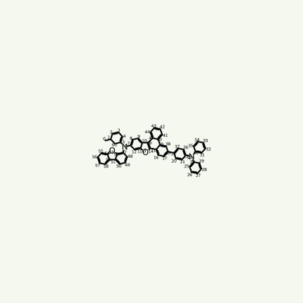 CC1C=CC=C(N(c2ccc3c(c2)oc2c4ccc(-c5ccc(N(c6ccccc6)c6ccccc6)cc5)cc4c4ccccc4c32)c2cccc3c2oc2ccccc23)C1